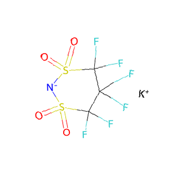 O=S1(=O)[N-]S(=O)(=O)C(F)(F)C(F)(F)C1(F)F.[K+]